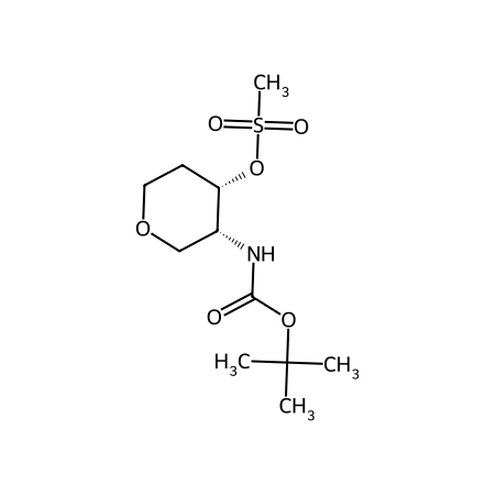 CC(C)(C)OC(=O)N[C@@H]1COCC[C@@H]1OS(C)(=O)=O